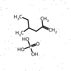 C=C(C)CC(C)CC.O=P(O)(O)O